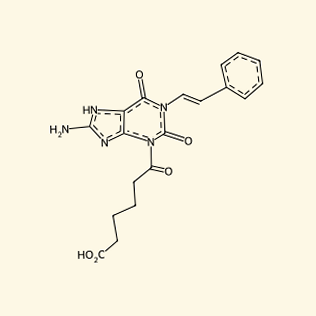 Nc1nc2c([nH]1)c(=O)n(C=Cc1ccccc1)c(=O)n2C(=O)CCCCC(=O)O